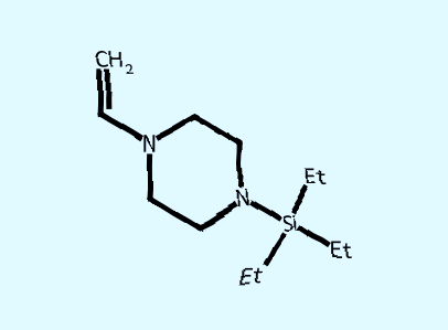 C=CN1CCN([Si](CC)(CC)CC)CC1